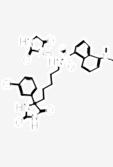 CN(C)c1cccc2c(S(=O)(=O)NCCCCCC3(c4cccc(Cl)c4)NC(=O)NC3=O)cccc12.O=C1CNC(=O)N1